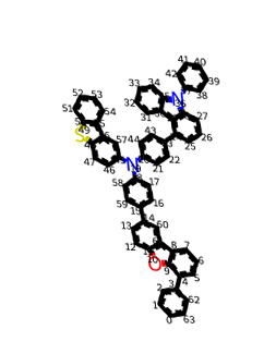 c1ccc(-c2cccc3c2oc2ccc(-c4ccc(N(c5ccc(-c6cccc7c6c6ccccc6n7-c6ccccc6)cc5)c5ccc6sc7ccccc7c6c5)cc4)cc23)cc1